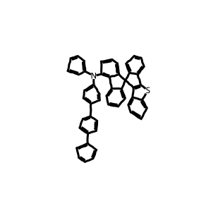 c1ccc(-c2ccc(-c3ccc(N(c4ccccc4)c4cccc5c4-c4ccccc4C54c5ccccc5-c5sc6ccccc6c54)cc3)cc2)cc1